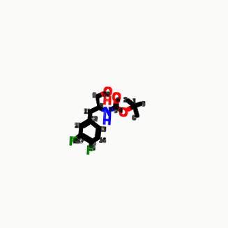 CC(C)(C)OC(=O)N[C@H](CO)Cc1ccc(F)c(F)c1